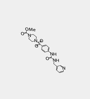 COC(=O)N1CCN(S(=O)(=O)c2ccc(NC(=O)NCc3cccnc3)cc2)CC1